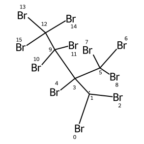 Br[C](Br)C(Br)(C(Br)(Br)Br)C(Br)(Br)C(Br)(Br)Br